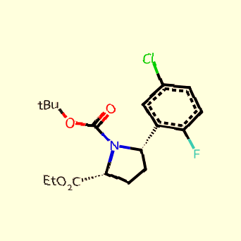 CCOC(=O)[C@H]1CC[C@@H](c2cc(Cl)ccc2F)N1C(=O)OC(C)(C)C